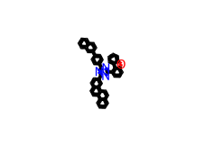 c1ccc2cc(-c3ccc(-c4nc(-c5ccc6ccc7c8ccccc8ccc7c6c5)nc(-c5cccc6oc7ccccc7c56)n4)cc3)ccc2c1